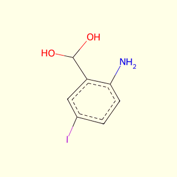 Nc1ccc(I)cc1C(O)O